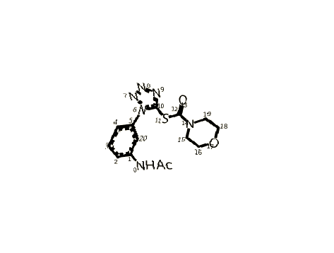 CC(=O)Nc1cccc(-n2nnnc2SC(=O)N2CCOCC2)c1